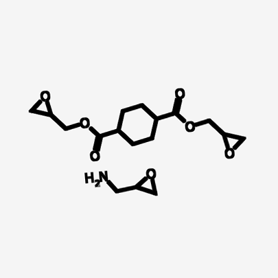 NCC1CO1.O=C(OCC1CO1)C1CCC(C(=O)OCC2CO2)CC1